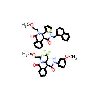 COCCN1C(=O)c2ccccc2C(C(=O)NCc2cccc3ccccc23)C1c1cccs1.COCCN1C(=O)c2ccccc2C(C(=O)Nc2cccc(OC)c2)C1CC(F)(F)F